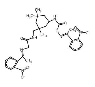 C/C(=N\CC(=O)NCC1(C)CC(NC(=O)O/N=C(\C)c2ccccc2[N+](=O)[O-])CC(C)(C)C1)c1ccccc1[N+](=O)[O-]